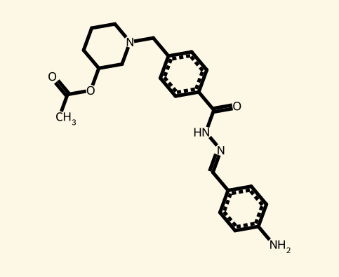 CC(=O)OC1CCCN(Cc2ccc(C(=O)N/N=C/c3ccc(N)cc3)cc2)C1